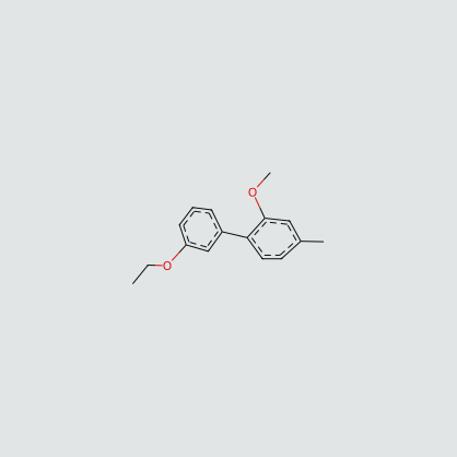 CCOc1cccc(-c2ccc(C)cc2OC)c1